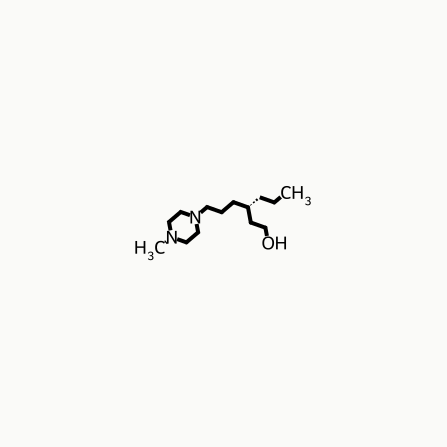 CCC[C@H](CCO)CCCN1CCN(C)CC1